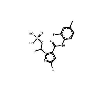 Cc1ccc(NC(=O)c2cc(Cl)nn2C(C)OP(=O)(O)O)c(F)c1